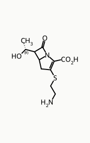 C[C@@H](O)C1C(=O)N2C(C(=O)O)=C(SCCN)CC12